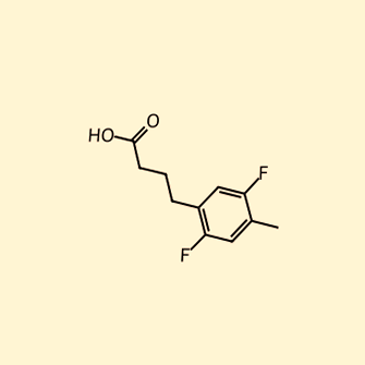 Cc1cc(F)c(CCCC(=O)O)cc1F